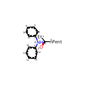 CCCCCC(=O)CC.c1ccc(Nc2ccccc2)cc1